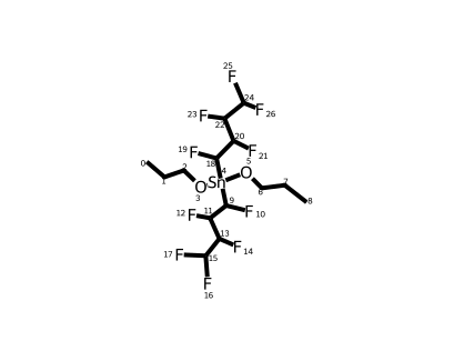 CCC[O][Sn]([O]CCC)([CH](F)C(F)C(F)C(F)F)[CH](F)C(F)C(F)C(F)F